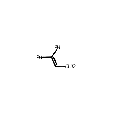 [2H]C([2H])=CC=O